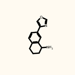 NC1CCCc2ccc(-c3cocn3)cc21